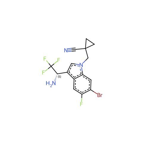 N#CC1(Cn2cc([C@H](N)C(F)(F)F)c3cc(F)c(Br)cc32)CC1